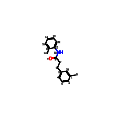 Cc1cccc(CCC(=O)Nc2ccccc2C)c1